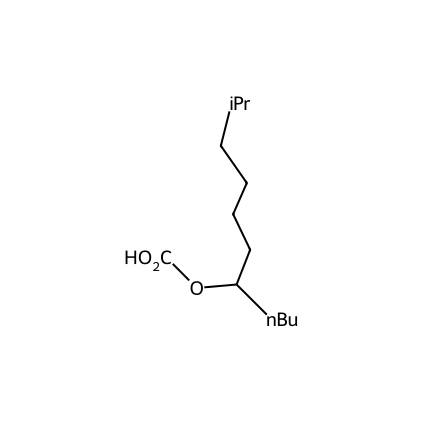 CCCCC(CCCCC(C)C)OC(=O)O